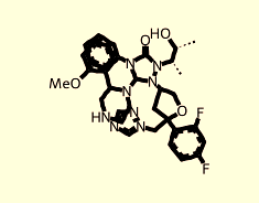 COc1ccccc1C1CNCCN1C1N(c2ccccc2)C(=O)N([C@@H](C)[C@@H](C)O)N1C1COC(Cn2cncn2)(c2ccc(F)cc2F)C1